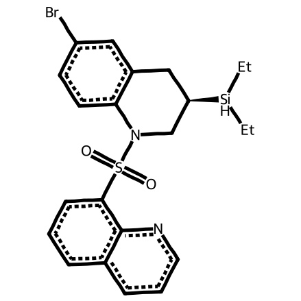 CC[SiH](CC)[C@@H]1Cc2cc(Br)ccc2N(S(=O)(=O)c2cccc3cccnc23)C1